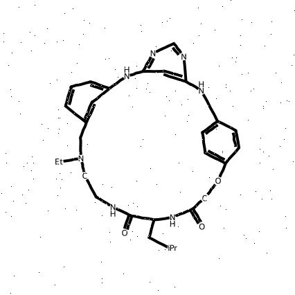 CCN1CCNC(=O)C(CC(C)C)NC(=O)COc2ccc(cc2)Nc2cc(ncn2)Nc2cccc(c2)C1